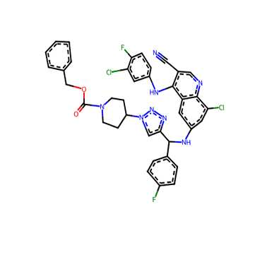 N#Cc1cnc2c(Cl)cc(NC(c3ccc(F)cc3)c3cn(C4CCN(C(=O)OCc5ccccc5)CC4)nn3)cc2c1Nc1ccc(F)c(Cl)c1